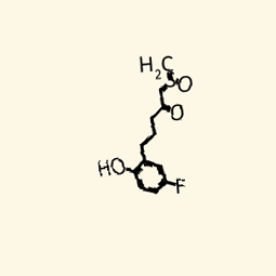 C=S(=O)=CC(=O)CCCc1cc(F)ccc1O